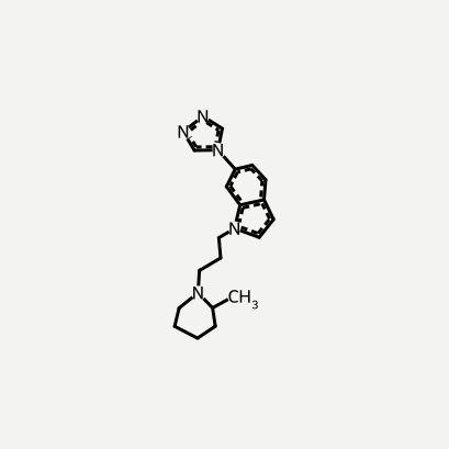 CC1CCCCN1CCCn1ccc2ccc(-n3cnnc3)cc21